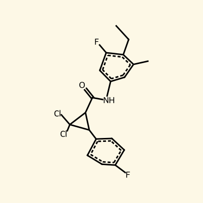 CCc1c(C)cc(NC(=O)C2C(c3ccc(F)cc3)C2(Cl)Cl)cc1F